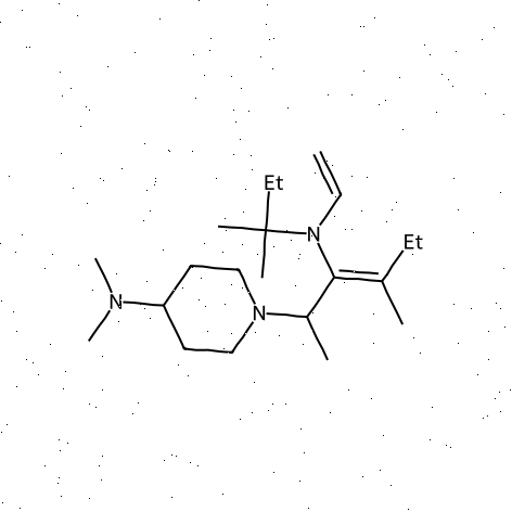 C=CN(/C(=C(/C)CC)C(C)N1CCC(N(C)C)CC1)C(C)(C)CC